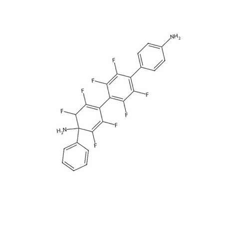 Nc1ccc(-c2c(F)c(F)c(C3=C(F)C(F)C(N)(c4ccccc4)C(F)=C3F)c(F)c2F)cc1